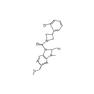 COCc1ncc2c(n1)N(C)C(C=O)N2C(=O)N1CC(c2ccccc2Cl)C1